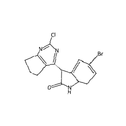 O=C1NC2CC=C(Br)C=C2C1c1nc(Cl)nc2c1CCC2